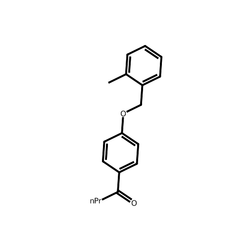 CCCC(=O)c1ccc(OCc2ccccc2C)cc1